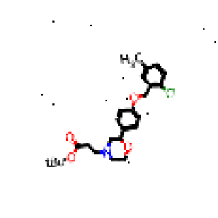 Cc1ccc(Cl)c(COc2ccc(C3CN(CCC(=O)OC(C)(C)C)CCO3)cc2)c1